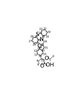 CCOC(C(=O)O)=C(CC)c1ccc2oc(CN3c4ccccc4Sc4ccccc43)cc2c1